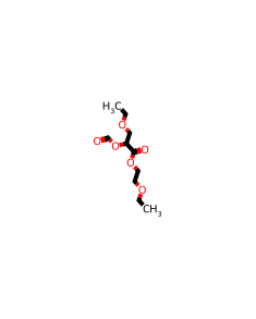 CCOCCOC(=O)C(COCC)O[C]=O